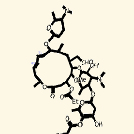 CCC(=O)OC1CC(=O)OC(C)C/C=C/C=C/C(OC2CCC(N(C)C)C(C)O2)C(C)CC(CC=O)C(OC2OC(C)C(OC3CC(O)=C(OC(=O)CC(C)C)C(C)O3)C(N(C)C)C2O)C1OC